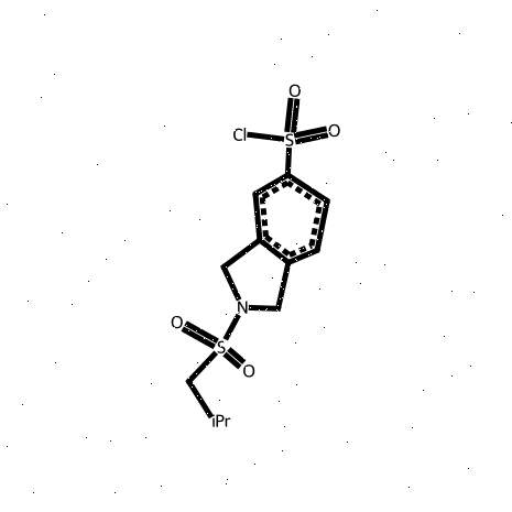 CC(C)CS(=O)(=O)N1Cc2ccc(S(=O)(=O)Cl)cc2C1